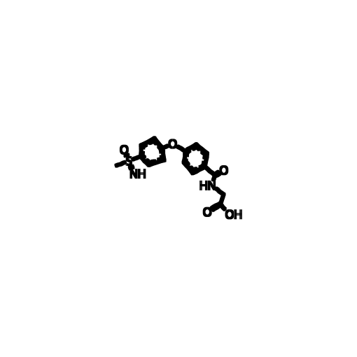 CS(=N)(=O)c1ccc(Oc2ccc(C(=O)NCC(=O)O)cc2)cc1